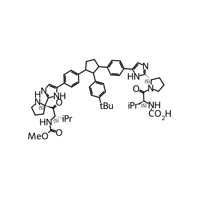 COC(=O)N[C@H](C(=O)[C@@]1(c2ncc(-c3ccc(C4CCC(c5ccc(-c6cnc([C@@H]7CCCN7C(=O)[C@@H](NC(=O)O)C(C)C)[nH]6)cc5)C4c4ccc(C(C)(C)C)cc4)cc3)[nH]2)CCCN1)C(C)C